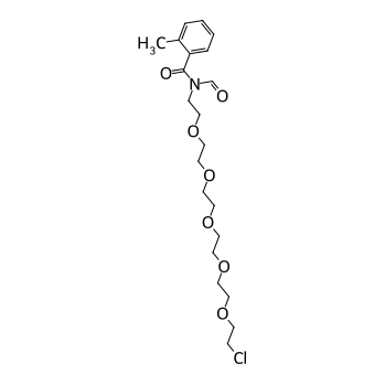 Cc1ccccc1C(=O)N(C=O)CCOCCOCCOCCOCCOCCCl